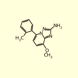 COc1ccc(-c2ccccc2C)n2nc(N)nc12